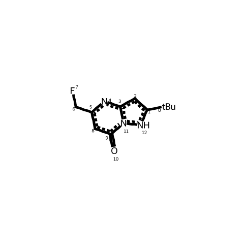 CC(C)(C)c1cc2nc(CF)cc(=O)n2[nH]1